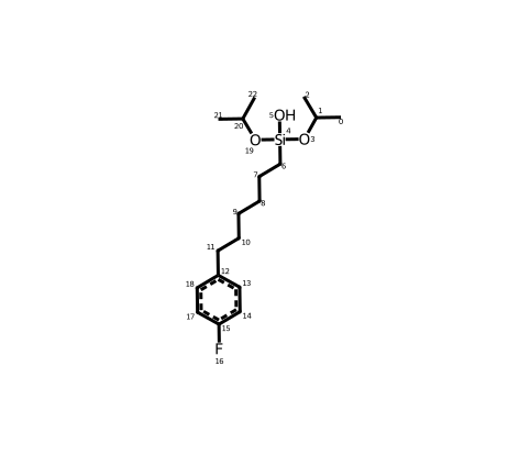 CC(C)O[Si](O)(CCCCCCc1ccc(F)cc1)OC(C)C